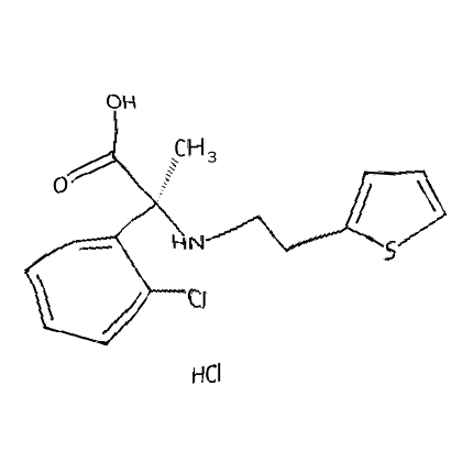 C[C@@](NCCc1cccs1)(C(=O)O)c1ccccc1Cl.Cl